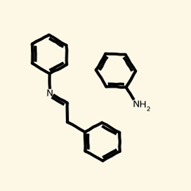 C(Cc1ccccc1)=Nc1ccccc1.Nc1ccccc1